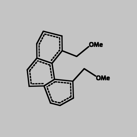 COCc1cccc2ccc3cccc(COC)c3c12